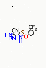 N#Cc1[nH]nnc1C1=CSC(Oc2cccc(C(F)(F)F)c2)N1